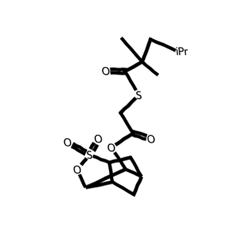 CC(C)CC(C)(C)C(=O)SCC(=O)OC1C2CC3C1OS(=O)(=O)C3C2